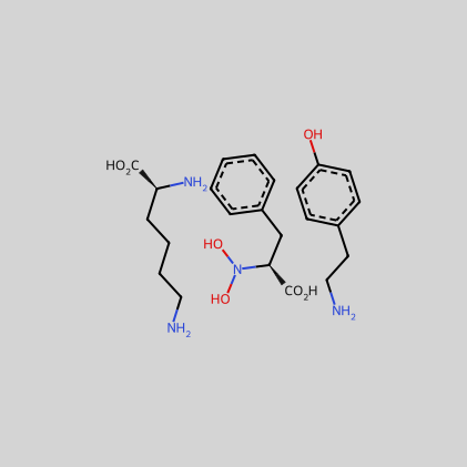 NCCCC[C@H](N)C(=O)O.NCCc1ccc(O)cc1.O=C(O)[C@H](Cc1ccccc1)N(O)O